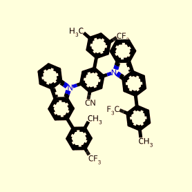 Cc1cc(-c2cc(-n3c4ccccc4c4ccc(-c5ccc(C(F)(F)F)cc5C)cc43)c(C#N)cc2-n2c3ccccc3c3ccc(-c4ccc(C)cc4C(F)(F)F)cc32)cc(C(F)(F)F)c1